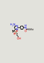 CNC(=O)Nc1ccc(-c2nc(N)cc(C3(S(=O)(=O)CCCO)CC3)n2)cc1